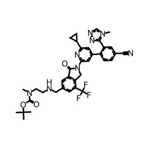 CN(CCNCc1cc2c(c(C(F)(F)F)c1)CN(c1cc(-c3ccc(C#N)cc3-c3nncn3C)cc(C3CC3)n1)C2=O)C(=O)OC(C)(C)C